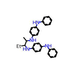 CCC(Nc1ccc(Nc2ccccc2)cc1)C(C)Nc1ccc(Nc2ccccc2)cc1